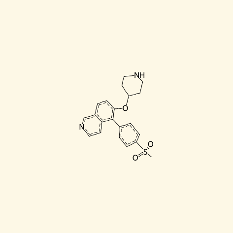 CS(=O)(=O)c1ccc(-c2c(OC3CCNCC3)ccc3cnccc23)cc1